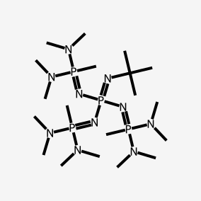 CN(C)P(C)(=NP(=NC(C)(C)C)(N=P(C)(N(C)C)N(C)C)N=P(C)(N(C)C)N(C)C)N(C)C